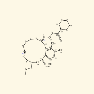 CCCC1C/C=C/CCCC/C(=N/OCC(=O)N2CCCCC2)Cc2c(Cl)c(O)cc(O)c2C(=O)O1